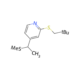 CSC(C)c1ccnc(SCC(C)(C)C)c1